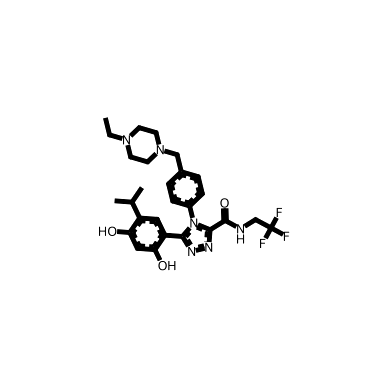 CCN1CCN(Cc2ccc(-n3c(C(=O)NCC(F)(F)F)nnc3-c3cc(C(C)C)c(O)cc3O)cc2)CC1